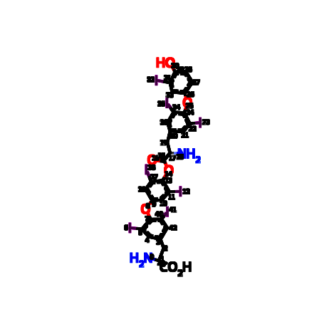 N[C@@H](Cc1cc(I)c(Oc2cc(I)c(OC(=O)[C@@H](N)Cc3cc(I)c(Oc4ccc(O)c(I)c4)c(I)c3)c(I)c2)c(I)c1)C(=O)O